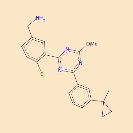 COc1nc(-c2cccc(C3(C)CC3)c2)nc(-c2cc(CN)ccc2Cl)n1